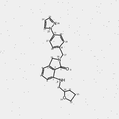 O=C1c2c(cccc2NCC2CCCO2)CN1Cc1ccc(-n2cccn2)cc1